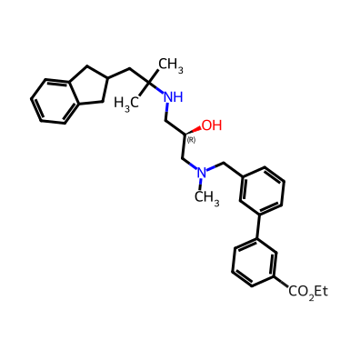 CCOC(=O)c1cccc(-c2cccc(CN(C)C[C@H](O)CNC(C)(C)CC3Cc4ccccc4C3)c2)c1